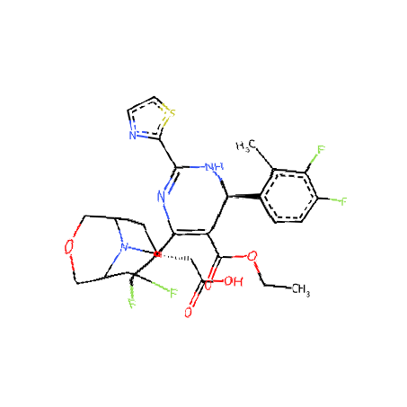 CCOC(=O)C1=C(CN2C3COCC2C(F)(F)[C@@H](CC(=O)O)C3)N=C(c2nccs2)N[C@H]1c1ccc(F)c(F)c1C